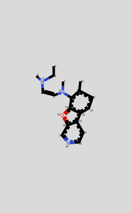 CCN(C)/C=C\N(C)c1c(C)ccc2c1oc1cnccc12